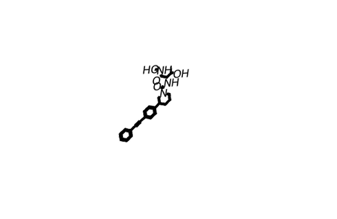 C[C@@H](O)[C@H](NC(=O)N1CCCC(c2ccc(C#Cc3ccccc3)cc2)C1)C(=O)NO